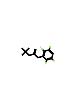 C=C(Cc1c(F)c(F)cc(F)c1F)CC(C)(C)C